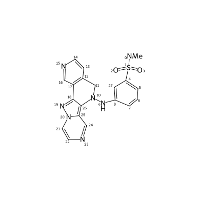 CNS(=O)(=O)c1cccc(NN2Cc3ccncc3-c3nn4ccncc4c32)c1